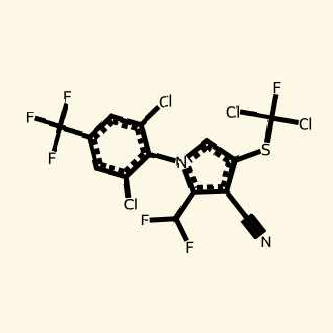 N#Cc1c(SC(F)(Cl)Cl)cn(-c2c(Cl)cc(C(F)(F)F)cc2Cl)c1C(F)F